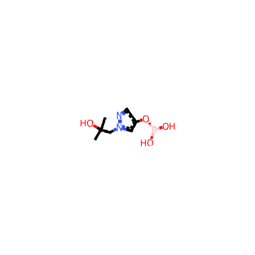 CC(C)(O)Cn1cc(OB(O)O)cn1